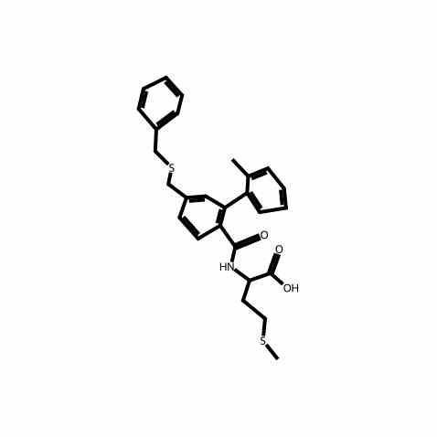 CSCCC(NC(=O)c1ccc(CSCc2ccccc2)cc1-c1ccccc1C)C(=O)O